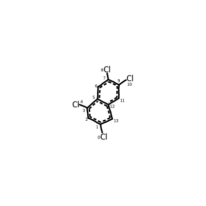 Clc1cc(Cl)c2cc(Cl)c(Cl)cc2c1